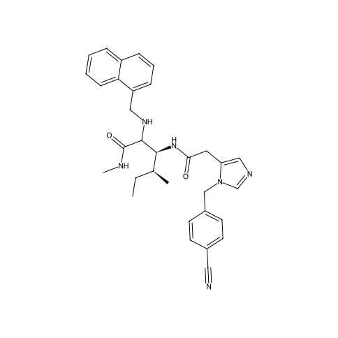 CC[C@H](C)[C@H](NC(=O)Cc1cncn1Cc1ccc(C#N)cc1)C(NCc1cccc2ccccc12)C(=O)NC